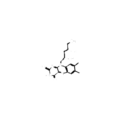 Cc1cc2nc3c(=O)[nH]c(=O)nc-3n(C[C@@H](O)C[C@@H](O)CO)c2cc1C